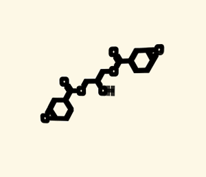 O=C(OCC(O)COC(=O)C1CCC2OC2C1)C1CCC2OC2C1